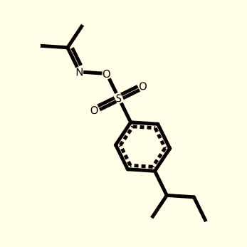 CCC(C)c1ccc(S(=O)(=O)ON=C(C)C)cc1